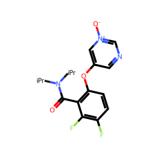 CC(C)N(C(=O)c1c(Oc2cnc[n+]([O-])c2)ccc(F)c1F)C(C)C